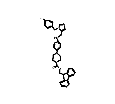 N#Cc1ccc(Cn2cncc2CNc2ccc(N3CCN(C(=O)OCC4c5ccccc5-c5ccccc54)CC3)cc2)cc1